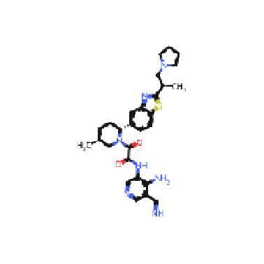 C[C@H]1CC[C@H](c2ccc3sc([C@H](C)CN4CCCC4)nc3c2)N(C(=O)C(=O)Nc2cncc(C=N)c2N)C1